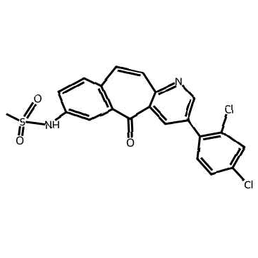 CS(=O)(=O)Nc1ccc2ccc3ncc(-c4ccc(Cl)cc4Cl)cc3c(=O)c2c1